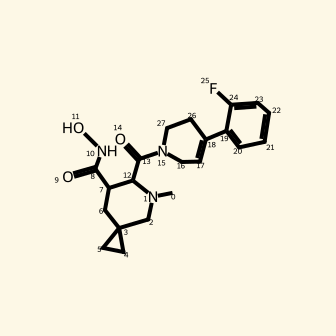 CN1CC2(CC2)CC(C(=O)NO)C1C(=O)N1CC=C(c2ccccc2F)CC1